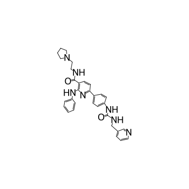 O=C(NCc1cccnc1)Nc1ccc(-c2ccc(C(=O)NCCN3CCCC3)c(Nc3ccccc3)n2)cc1